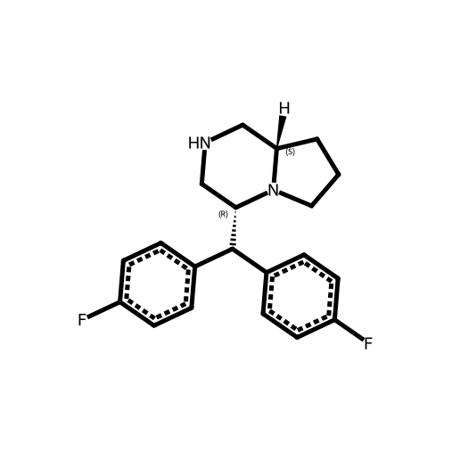 Fc1ccc(C(c2ccc(F)cc2)[C@@H]2CNC[C@@H]3CCCN32)cc1